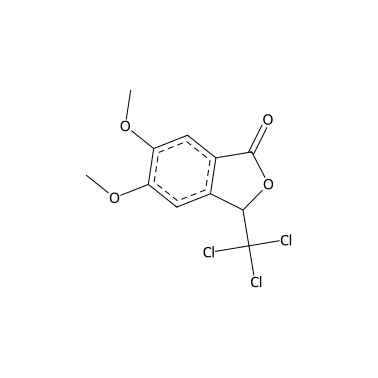 COc1cc2c(cc1OC)C(C(Cl)(Cl)Cl)OC2=O